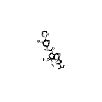 CC1(C)C[C@@H](C(=O)Nc2cnc(-n3nccn3)c(C#N)c2)c2cnc3cc(C(F)F)nn3c21